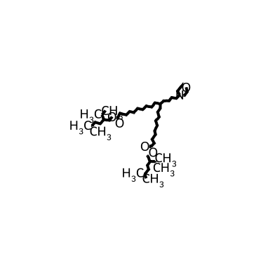 CC(C)CCC(COC(=O)CCCCCCCCCC(CCCCCCCCCC(=O)OCC(CCC(C)C)C(C)C)CCCCN1CCOCC1)C(C)C